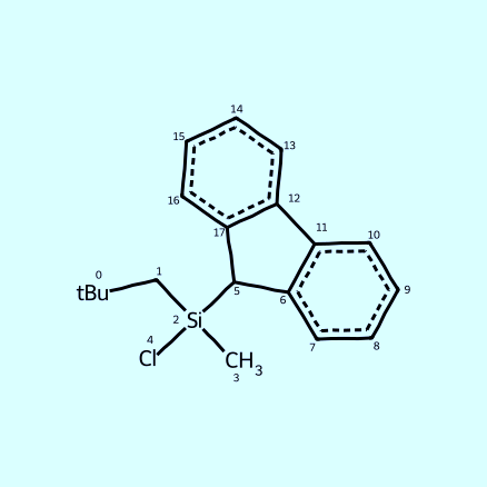 CC(C)(C)C[Si](C)(Cl)C1c2ccccc2-c2ccccc21